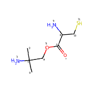 CC(C)(N)COC(=O)C(N)CS